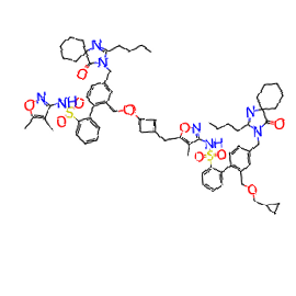 CCCCC1=NC2(CCCCC2)C(=O)N1Cc1ccc(-c2ccccc2S(=O)(=O)Nc2noc(C)c2C)c(COC2CC(Cc3onc(NS(=O)(=O)c4ccccc4-c4ccc(CN5C(=O)C6(CCCCC6)N=C5CCCC)cc4COCC4CC4)c3C)C2)c1